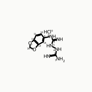 Cl.N=C(N)NNC(=N)Nc1ccc2c(c1)OCO2